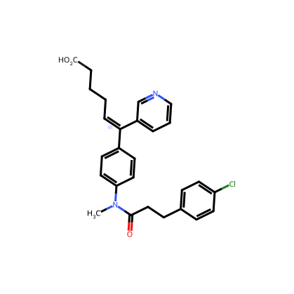 CN(C(=O)CCc1ccc(Cl)cc1)c1ccc(/C(=C/CCCC(=O)O)c2cccnc2)cc1